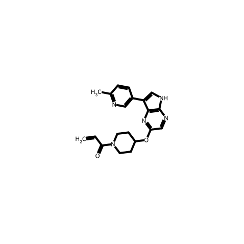 C=CC(=O)N1CCC(Oc2cnc3[nH]cc(-c4ccc(C)nc4)c3n2)CC1